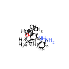 COc1c(C(C)(C)C)cc(Nc2ccccc2N)cc1C(C)(C)C